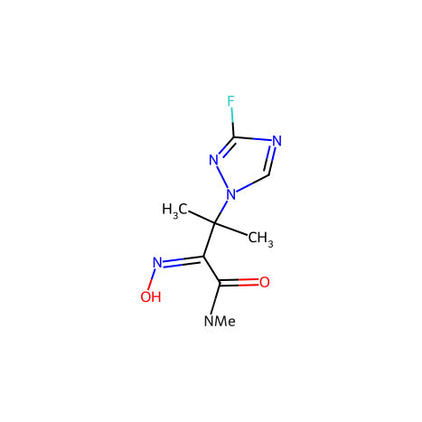 CNC(=O)C(=NO)C(C)(C)n1cnc(F)n1